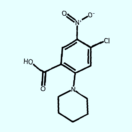 O=C(O)c1cc([N+](=O)[O-])c(Cl)cc1N1CCCCC1